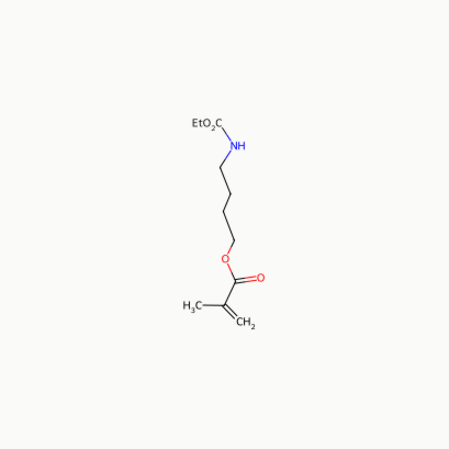 C=C(C)C(=O)OCCCCNC(=O)OCC